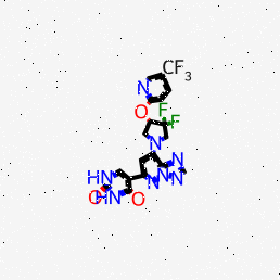 O=c1[nH]cc(-c2cc(N3CC(Oc4ccc(C(F)(F)F)cn4)C(F)(F)C3)c3ncnn3n2)c(=O)[nH]1